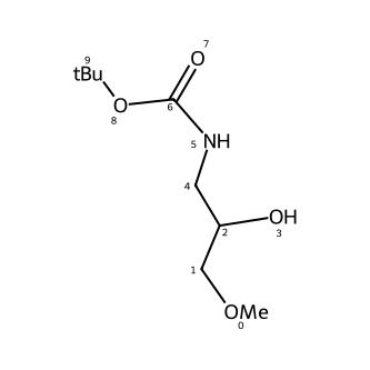 COCC(O)CNC(=O)OC(C)(C)C